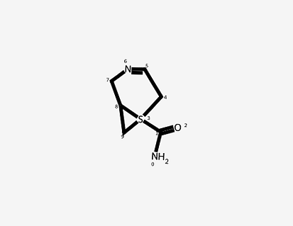 NC(=O)S12CC=NCC1C2